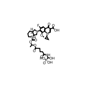 COc1c(N2C[C@@H]3CCCN(C(=O)OC(C)OC(=O)CCCC(=O)NC(O)P(=O)(O)O)[C@@H]3C2)c(F)cc2c(=O)c(C(=O)O)cn(C3CC3)c12